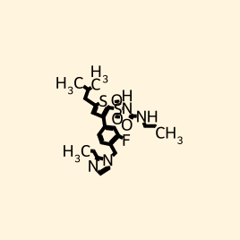 CCCNC(=O)NS(=O)(=O)c1sc(CC(C)C)cc1-c1ccc(Cn2ccnc2CC)c(F)c1